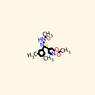 CC(=O)Nc1nc(-c2cc(C)cc(C)c2)c(-c2ccnc(OC(C)=O)c2)s1